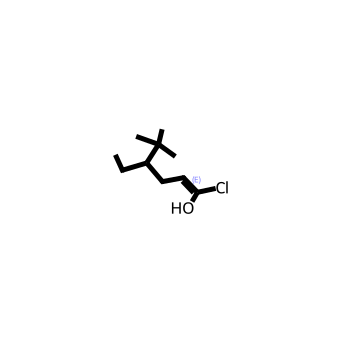 CCC(C/C=C(\O)Cl)C(C)(C)C